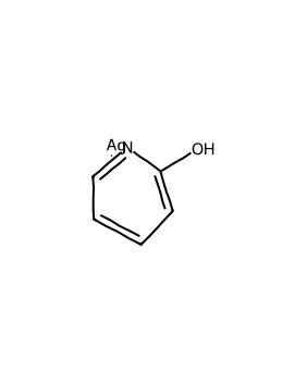 Oc1ccccn1.[Ag]